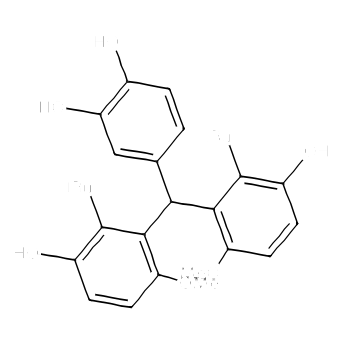 COc1ccc(O)c(C(C)(C)C)c1C(c1ccc(O)c(O)c1)c1c(OC)ccc(O)c1C(C)(C)C